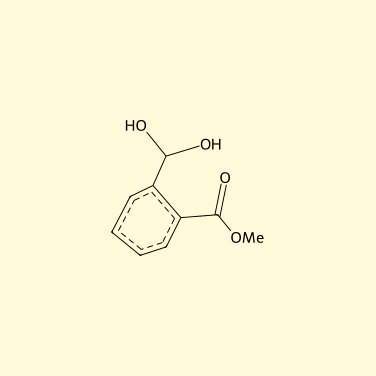 COC(=O)c1ccccc1C(O)O